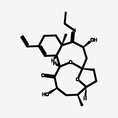 C=CC1=C[C@@H]2[C@@H]3O[C@]4(CC[C@H](O4)[C@@H](C)C[C@@H](O)C3=O)C[C@H](O)/C(=N/CC)[C@@]2(C)CC1